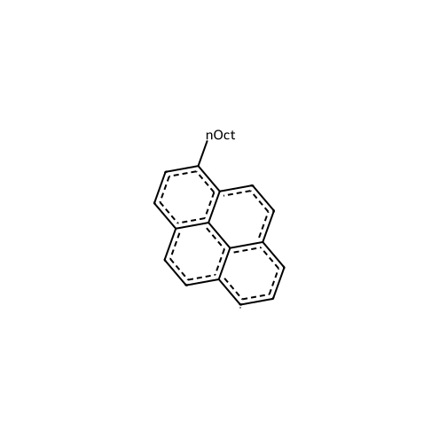 CCCCCCCCc1ccc2ccc3[c]ccc4ccc1c2c34